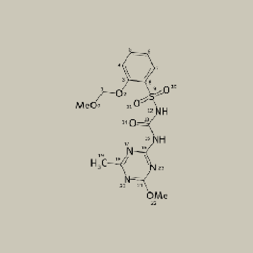 COCOc1ccccc1S(=O)(=O)NC(=O)Nc1nc(C)nc(OC)n1